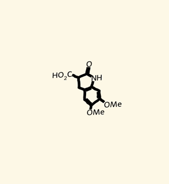 COc1cc2c(cc1OC)NC(=O)C(C(=O)O)C2